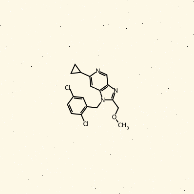 COCc1nc2cnc(C3CC3)cc2n1Cc1cc(Cl)ccc1Cl